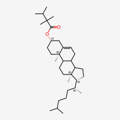 CC(C)CCC[C@@H](C)[C@H]1CCC2C3CC=C4C[C@@H](OC(=O)C(C)(C)C(C)C)CC[C@]4(C)C3CC[C@@]21C